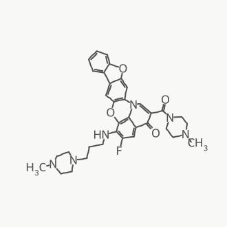 CN1CCN(CCCNc2c(F)cc3c(=O)c(C(=O)N4CCN(C)CC4)cn4c3c2Oc2cc3c(cc2-4)oc2ccccc23)CC1